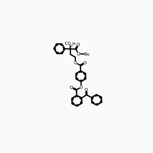 CCC(C)OC(=O)C(CCOC(=O)c1ccc(OC(=O)c2ccccc2C(=O)c2ccccc2)cc1)(C(=O)O)c1ccccc1